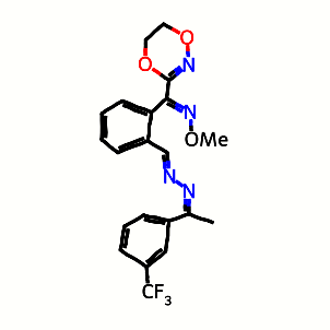 CON=C(C1=NOCCO1)c1ccccc1C=NN=C(C)c1cccc(C(F)(F)F)c1